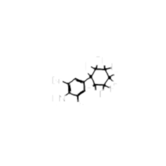 Nc1c(Br)cc(C2(F)C(F)(F)C(F)(F)C(F)(F)C(F)(F)C2(F)F)cc1Br